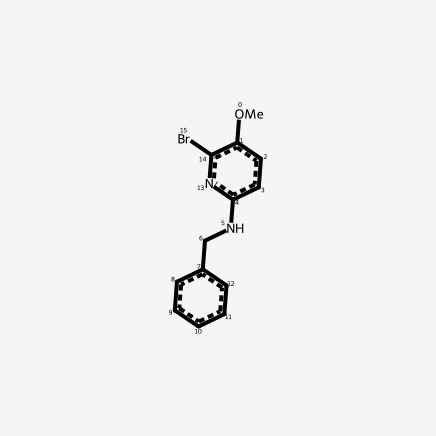 COc1ccc(NCc2ccccc2)nc1Br